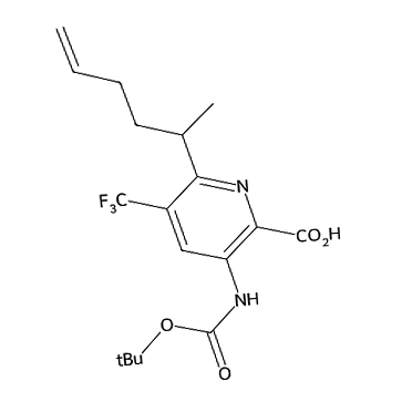 C=CCCC(C)c1nc(C(=O)O)c(NC(=O)OC(C)(C)C)cc1C(F)(F)F